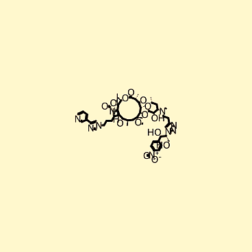 CO[C@]1(C)C[C@@H](C)C(=O)[C@@H]2C(CCCn3cnc(-c4cccnc4)c3)N3C(=O)O[C@](C)([C@@H](I)OC(=O)[C@H](C)C(=O)[C@H](C)[C@H]1O[C@@H]1O[C@H](C)C[C@H](N(C)CCc4cn([C@H](CO)[C@H](O)c5ccc([N+](=O)[O-])cc5)nn4)[C@H]1O)[C@@H]23